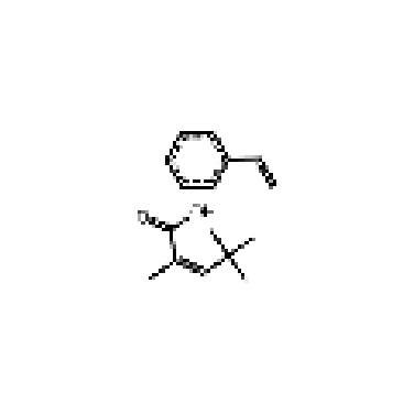 C=Cc1ccccc1.CC(=CC(C)(C)C)C(=O)O